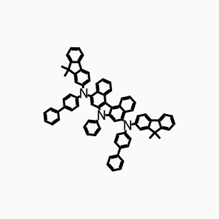 CC1(C)c2ccccc2-c2ccc(N(c3ccc(-c4ccccc4)cc3)c3cc4c(c5ccccc35)c3c5ccccc5c(N(c5ccc(-c6ccccc6)cc5)c5ccc6c(c5)C(C)(C)c5ccccc5-6)cc3n4-c3ccccc3)cc21